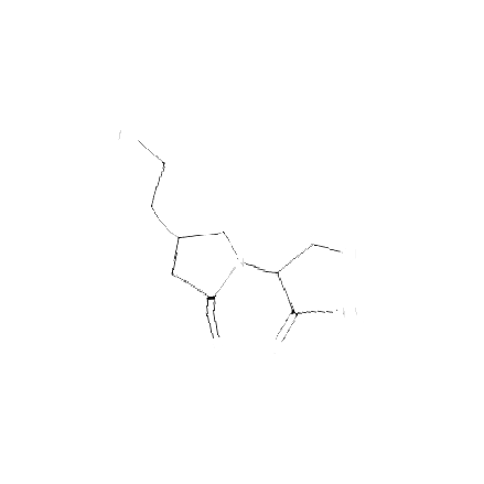 CCCC1CC(=O)N(C(CC)C(N)=O)C1